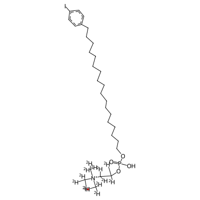 [2H]C([2H])(OP(=O)(O)OCCCCCCCCCCCCCCCCCCc1ccc(I)cc1)C([2H])([2H])[N+](C([2H])([2H])[2H])(C([2H])([2H])[2H])C([2H])([2H])[2H]